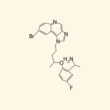 CC(CCCn1cnc2cnc3ccc(Br)cc3c21)Oc1ccc(F)cc1C(C)N